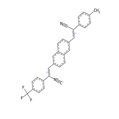 [C-]#[N+]/C(=C\c1ccc2cc(/C=C(\C#N)c3ccc(C)cc3)ccc2c1)c1ccc(C(F)(F)F)cc1